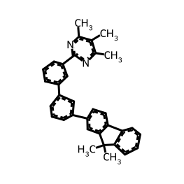 Cc1nc(-c2cccc(-c3cccc(-c4ccc5c(c4)C(C)(C)c4ccccc4-5)c3)c2)nc(C)c1C